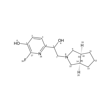 Oc1ccc(C(O)CN2C[C@H]3CCC[C@H]3C2)nc1F